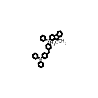 CC1(C)c2ccccc2-c2ccc(N(c3ccccc3)c3ccc(Cc4ccc(N(c5ccccc5)c5ccccc5)cc4)cc3)cc21